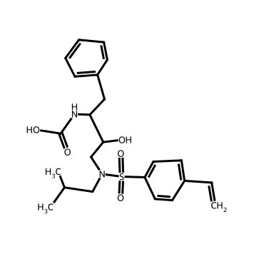 C=Cc1ccc(S(=O)(=O)N(CC(C)C)CC(O)C(Cc2ccccc2)NC(=O)O)cc1